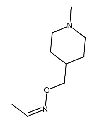 C/C=N\OCC1CCN(C)CC1